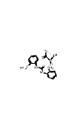 CCN(CC)C(N)=S.Cc1ccccc1NC(=S)Nc1ccccc1C